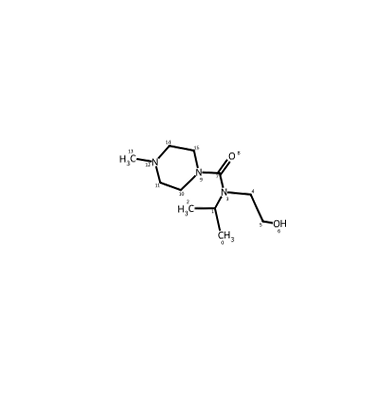 CC(C)N(CCO)C(=O)N1CCN(C)CC1